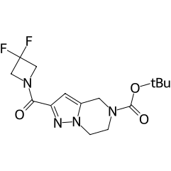 CC(C)(C)OC(=O)N1CCn2nc(C(=O)N3CC(F)(F)C3)cc2C1